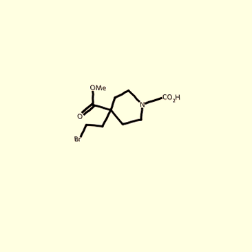 COC(=O)C1(CCBr)CCN(C(=O)O)CC1